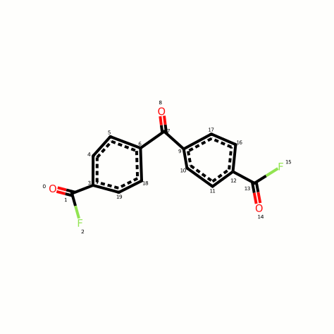 O=C(F)c1ccc(C(=O)c2ccc(C(=O)F)cc2)cc1